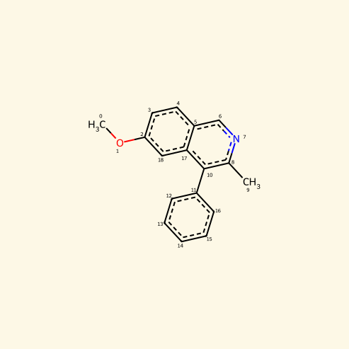 COc1ccc2cnc(C)c(-c3ccccc3)c2c1